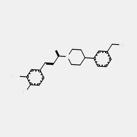 COc1cc(C=CC(=O)N2CCC(c3cccc(CN)c3)CC2)ccc1O